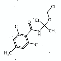 CCC(C)(NC(=O)c1c(Cl)cc(C)cc1Cl)OCCl